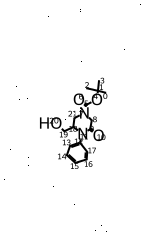 CC(C)(C)OC(=O)N1CC(=O)N(c2ccccc2)C(CO)C1